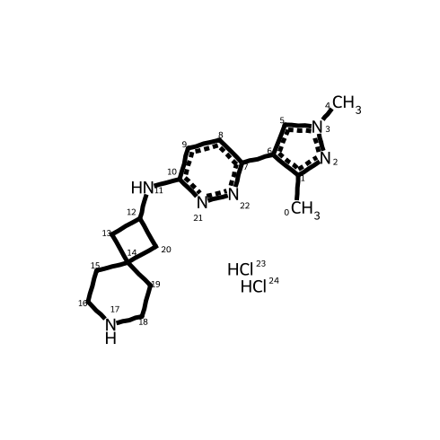 Cc1nn(C)cc1-c1ccc(NC2CC3(CCNCC3)C2)nn1.Cl.Cl